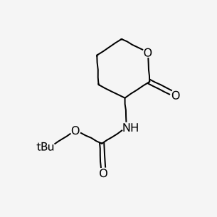 CC(C)(C)OC(=O)NC1CCCOC1=O